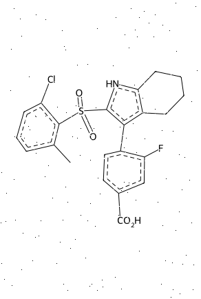 Cc1cccc(Cl)c1S(=O)(=O)c1[nH]c2c(c1-c1ccc(C(=O)O)cc1F)CCCC2